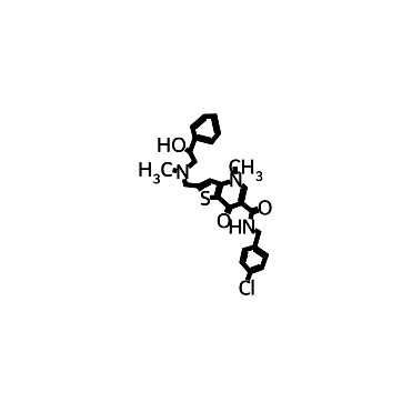 CN(Cc1cc2c(s1)c(=O)c(C(=O)NCc1ccc(Cl)cc1)cn2C)CC(O)c1ccccc1